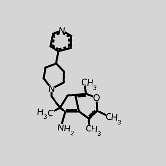 CC1=C(C)C2=C(N)C(C)(CN3CCC(c4ccncc4)CC3)CC2=C(C)O1